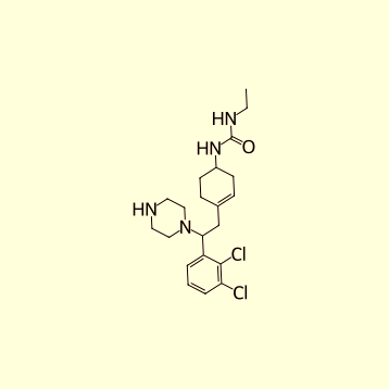 CCNC(=O)NC1CC=C(CC(c2cccc(Cl)c2Cl)N2CCNCC2)CC1